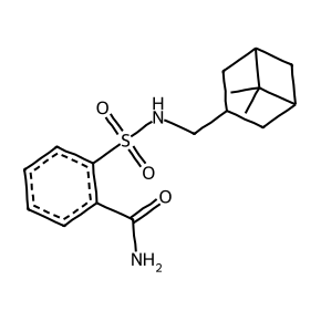 CC1(C)C2CC(CNS(=O)(=O)c3ccccc3C(N)=O)CC1C2